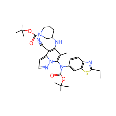 CCc1nc2ccc(N(C(=O)OC(C)(C)C)c3c(C)c(N[C@H]4CCCN(C(=O)OC(C)(C)C)C4)c(C#N)c4ccnn34)cc2s1